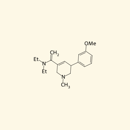 C=C(C1=CC(c2cccc(OC)c2)CN(C)C1)N(CC)CC